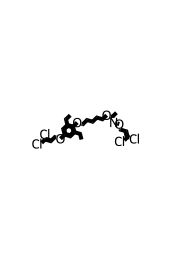 CCc1cc(OCC=C(Cl)Cl)cc(CC)c1OCCCCCOC(C)=NOCC=C(Cl)Cl